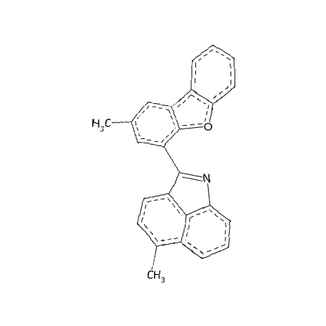 Cc1cc(C2=Nc3cccc4c(C)ccc2c34)c2oc3ccccc3c2c1